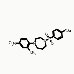 CC(C)(C)c1ccc(S(=O)(=O)N2CCCN(c3ccc([N+](=O)[O-])cc3C(F)(F)F)CC2)cc1